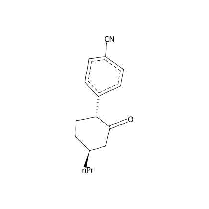 CCC[C@H]1CC[C@H](c2ccc(C#N)cc2)C(=O)C1